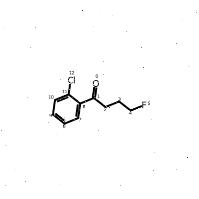 O=C(CCCF)c1ccccc1Cl